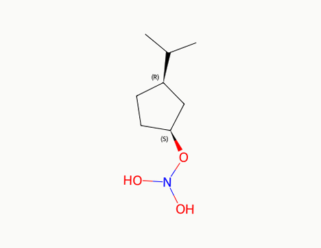 CC(C)[C@@H]1CC[C@H](ON(O)O)C1